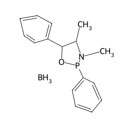 B.CC1C(c2ccccc2)OP(c2ccccc2)N1C